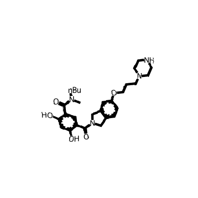 CCCCN(C)C(=O)c1cc(C(=O)N2Cc3ccc(OCCCN4CCNCC4)cc3C2)c(O)cc1O